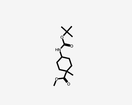 COC(=O)C1(C)CCC(NC(=O)OC(C)(C)C)CC1